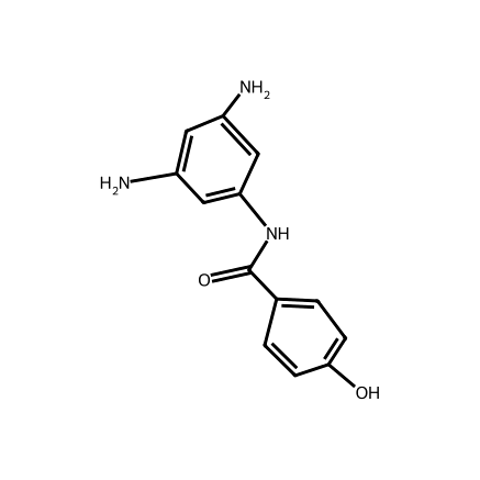 Nc1cc(N)cc(NC(=O)c2ccc(O)cc2)c1